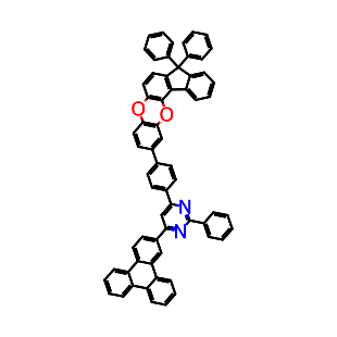 c1ccc(-c2nc(-c3ccc(-c4ccc5c(c4)Oc4c(ccc6c4-c4ccccc4C6(c4ccccc4)c4ccccc4)O5)cc3)cc(-c3ccc4c5ccccc5c5ccccc5c4c3)n2)cc1